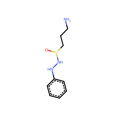 NCCC[S+]([O-])NNc1ccccc1